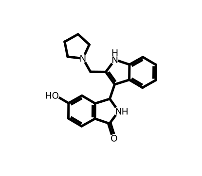 O=C1NC(c2c(CN3CCCC3)[nH]c3ccccc23)c2cc(O)ccc21